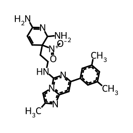 Cc1cc(C)cc(-c2cc3nc(C)cn3c(NCCC3([N+](=O)[O-])C=CC(N)=NC3N)n2)c1